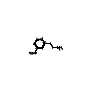 CNc1cccc(CCN)c1